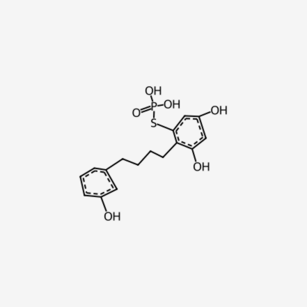 O=P(O)(O)Sc1cc(O)cc(O)c1CCCCc1cccc(O)c1